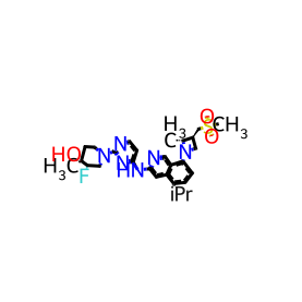 CC(C)c1ccc(N2C[C@H](CS(C)(=O)=O)[C@H]2C)c2cnc(Nc3ccnc(N4CC[C@@](C)(O)[C@@H](F)C4)n3)cc12